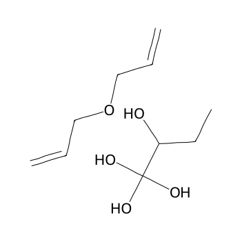 C=CCOCC=C.CCC(O)C(O)(O)O